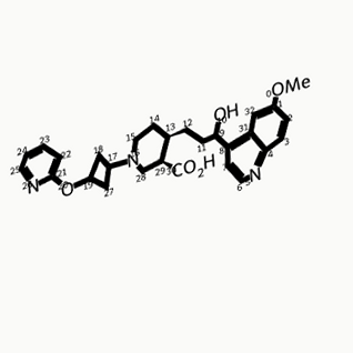 COc1ccc2nccc(C(O)CC[C@@H]3CCN(C4CC(Oc5ccccn5)C4)C[C@@H]3C(=O)O)c2c1